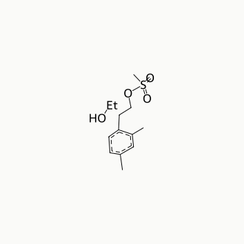 CCO.Cc1ccc(CCOS(C)(=O)=O)c(C)c1